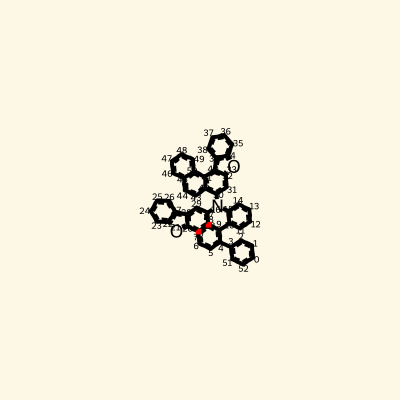 c1ccc(-c2ccccc2-c2ccccc2N(c2ccc3oc4ccccc4c3c2)c2cc3oc4ccccc4c3c3c2ccc2ccccc23)cc1